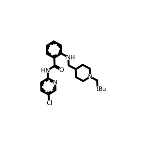 CC(C)(C)CN1CCC(CNc2ccccc2C(=O)Nc2ccc(Cl)cn2)CC1